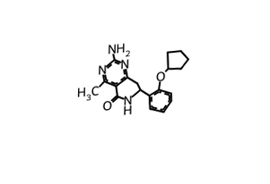 Cc1nc(N)nc2c1C(=O)NC(c1ccccc1OC1CCCC1)C2